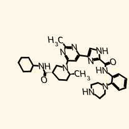 Cc1nc(-c2c[nH]c(C(=O)Nc3ccccc3N3CCNCC3)n2)cc(N2C[C@@H](C(=O)NC3CCCCC3)CC[C@@H]2C)n1